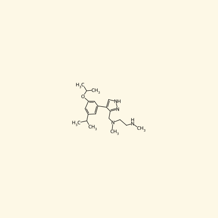 CNCCN(C)Cc1n[nH]cc1-c1cc(OC(C)C)cc(C(C)C)c1